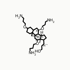 C[C@H](CCO)C1CC[C@H]2C3[C@H](OCCCN)CC4CC(OCCCN)CCC4(C)[C@H]3C[C@H](OCCCN)[C@@]12C